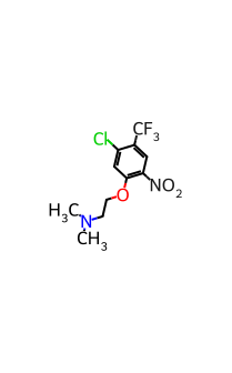 CN(C)CCOc1cc(Cl)c(C(F)(F)F)cc1[N+](=O)[O-]